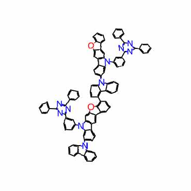 c1ccc(-c2nc(-c3ccccc3)nc(-c3cccc(-n4c5cc(-n6c7ccccc7c7ccccc76)ccc5c5cc6c(cc54)oc4c(-c5cccc7c5c5ccccc5n7-c5ccc7c8cc9oc%10ccccc%10c9cc8n(-c8cccc(-c9nc(-c%10ccccc%10)nc(-c%10ccccc%10)n9)c8)c7c5)cccc46)c3)n2)cc1